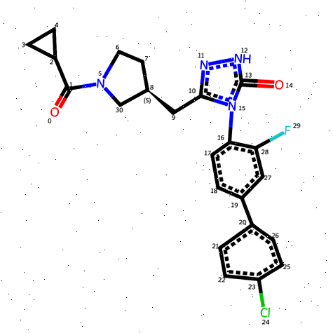 O=C(C1CC1)N1CC[C@@H](Cc2n[nH]c(=O)n2-c2ccc(-c3ccc(Cl)cc3)cc2F)C1